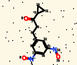 O=Nc1cc(CCC(=O)C2CC2)cc(N=O)c1